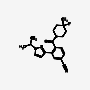 CC(C)n1ccc(-c2cc(C#N)ccc2C(=O)N2CCC(C)(F)CC2)n1